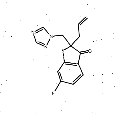 C=CCC1(Cn2cncn2)Sc2cc(F)ccc2C1=O